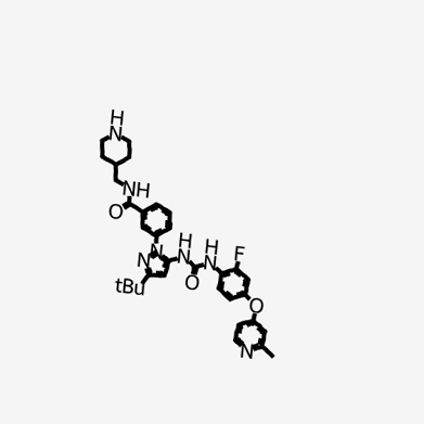 Cc1cc(Oc2ccc(NC(=O)Nc3cc(C(C)(C)C)nn3-c3cccc(C(=O)NCC4CCNCC4)c3)c(F)c2)ccn1